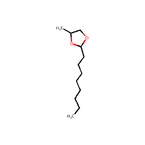 CCCCCCCCC1OCC(C)O1